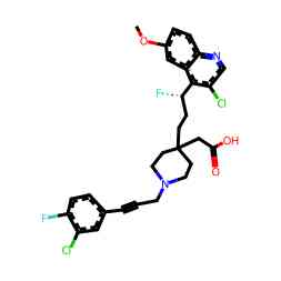 COc1ccc2ncc(Cl)c([C@@H](F)CCC3(CC(=O)O)CCN(CC#Cc4ccc(F)c(Cl)c4)CC3)c2c1